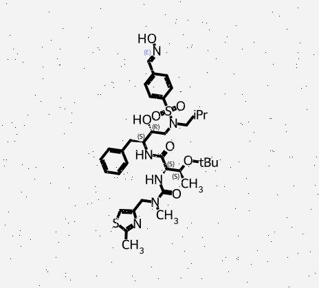 Cc1nc(CN(C)C(=O)N[C@H](C(=O)N[C@@H](Cc2ccccc2)[C@H](O)CN(CC(C)C)S(=O)(=O)c2ccc(/C=N/O)cc2)[C@H](C)OC(C)(C)C)cs1